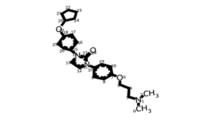 CN(C)CCCOc1ccc(-n2ccn(-c3ccc(OC4CCCC4)cc3)c2=O)cc1